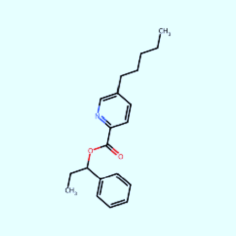 CCCCCc1ccc(C(=O)OC(CC)c2ccccc2)nc1